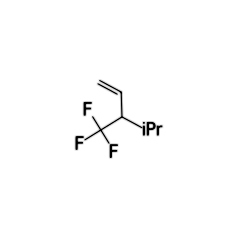 C=CC(C(C)C)C(F)(F)F